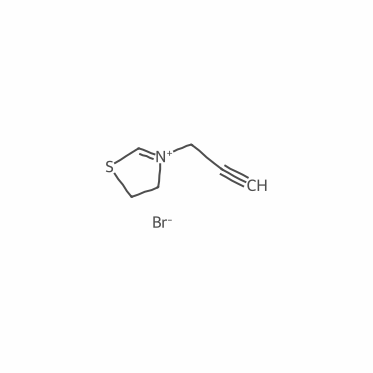 C#CC[N+]1=CSCC1.[Br-]